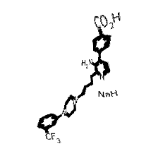 Nc1c(-c2ccc(C(=O)O)cc2)ccnc1CCCCN1CCN(c2cccc(C(F)(F)F)c2)CC1.[NaH]